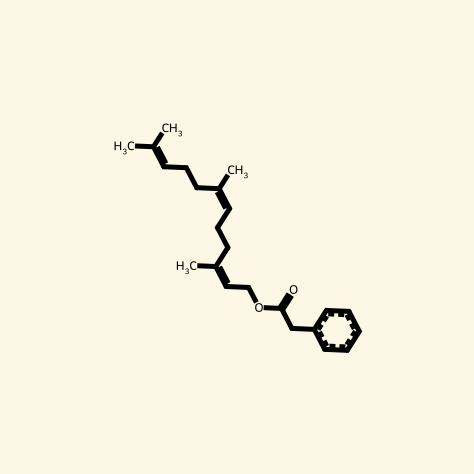 CC(C)=CCCC(C)=CCCC(C)=CCOC(=O)Cc1ccccc1